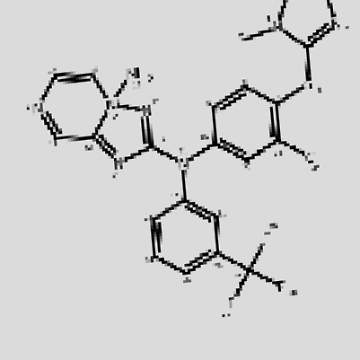 Cn1ccnc1Sc1ccc(N(C2=N[N+]3(N)C=CN=CC3=N2)c2cccc(C(F)(F)F)c2)cc1Cl